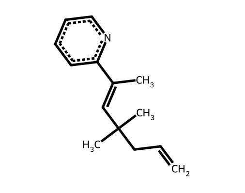 C=CCC(C)(C)/C=C(\C)c1ccccn1